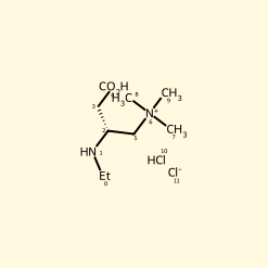 CCN[C@H](CC(=O)O)C[N+](C)(C)C.Cl.[Cl-]